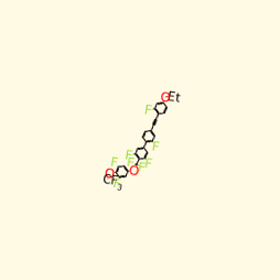 CCOc1ccc(C#Cc2ccc(-c3cc(F)c(C(F)(F)Oc4cc(F)c(OC(F)(F)F)c(F)c4)c(F)c3)c(F)c2)c(F)c1